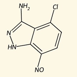 Nc1n[nH]c2c(N=O)ccc(Cl)c12